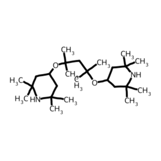 CC1(C)CC(OC(C)(C)CC(C)(C)OC2CC(C)(C)NC(C)(C)C2)CC(C)(C)N1